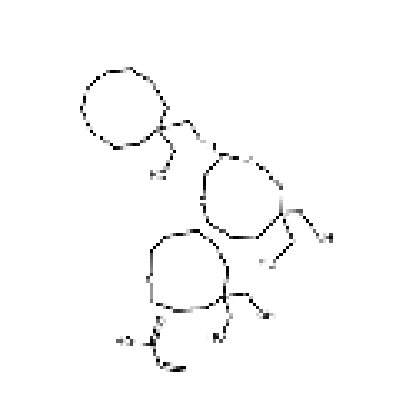 C=CC(=O)O.OCC1(CO)CCCCCCCCC1.OCC1(CO)CCCCCCCCC1.OCC1(CO)CCCCCCCCC1